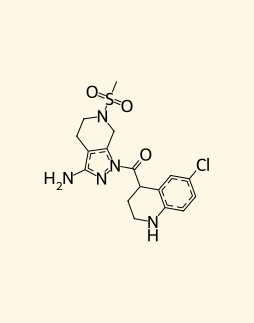 CS(=O)(=O)N1CCc2c(N)nn(C(=O)C3CCNc4ccc(Cl)cc43)c2C1